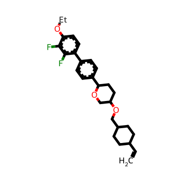 C=CC1CCC(COC2CCC(c3ccc(-c4ccc(OCC)c(F)c4F)cc3)OC2)CC1